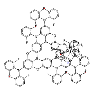 C=C(/C=C\c1sc2c(c1C)N(c1c(F)cccc1F)c1cc(N(c3c(F)cccc3F)c3c(F)cccc3F)cc3c1B2c1cc2c(cc1N3c1c(F)cccc1F)Oc1cc(N(c3c(F)cccc3F)c3c(F)cccc3F)cc3c1B2c1cc2c(cc1O3)N(c1c(F)cccc1F)c1cc(N(c3c(F)cccc3F)c3c(F)cccc3F)cc3c1B2c1sc2ccc(C(C)(C)C)cc2c1O3)C(C)(C)C